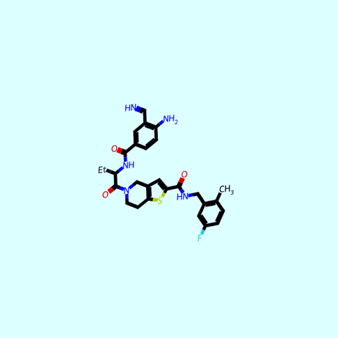 CCC(NC(=O)c1ccc(N)c(C=N)c1)C(=O)N1CCc2sc(C(=O)NCc3cc(F)ccc3C)cc2C1